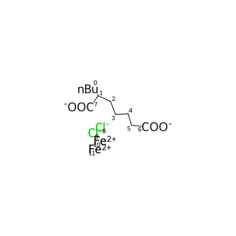 CCCCC(CCCCC(=O)[O-])C(=O)[O-].[Cl-].[Cl-].[Fe+2].[Fe+2]